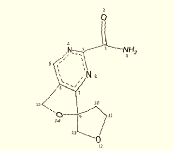 NC(=O)c1ncc2c(n1)C1(CCOC1)OC2